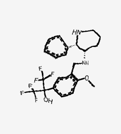 COc1ccc(C(O)(C(F)(F)F)C(F)(F)F)cc1CN[C@H]1CCCN[C@H]1c1ccccc1